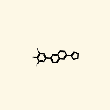 Fc1cc(-c2ccc3cc(C4=CCCC4)ccc3c2)cc(F)c1F